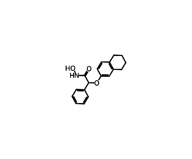 O=C(NO)C(Oc1ccc2c(c1)CCCC2)c1ccccc1